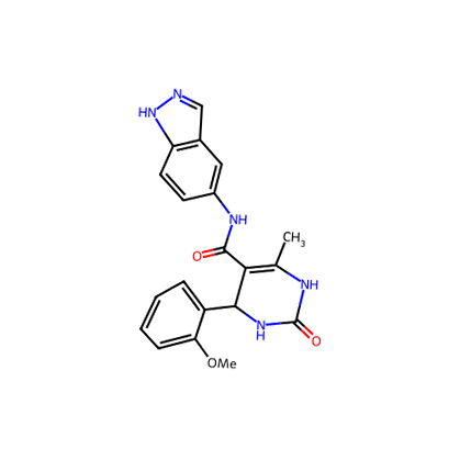 COc1ccccc1C1NC(=O)NC(C)=C1C(=O)Nc1ccc2[nH]ncc2c1